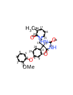 COc1ccccc1Oc1ccc(C2(Cn3cccc(C)c3=O)NC(=O)NC2=O)cc1